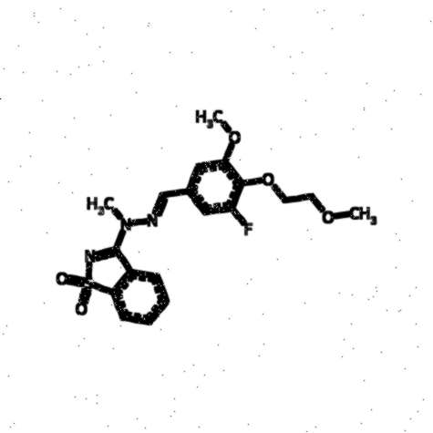 COCCOc1c(F)cc(/C=N/N(C)C2=NS(=O)(=O)c3ccccc32)cc1OC